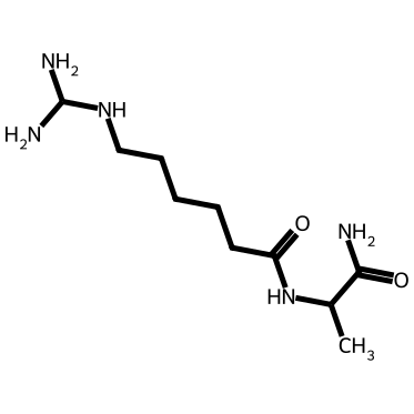 CC(NC(=O)CCCCCNC(N)N)C(N)=O